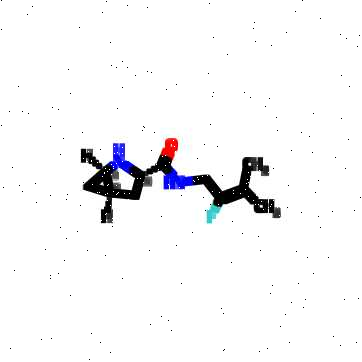 CC(C)=C(F)CNC(=O)[C@@H]1C[C@H]2C[C@H]2N1